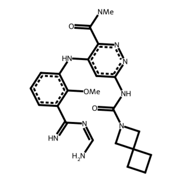 CNC(=O)c1nnc(NC(=O)N2CC3(CCC3)C2)cc1Nc1cccc(C(=N)/N=C\N)c1OC